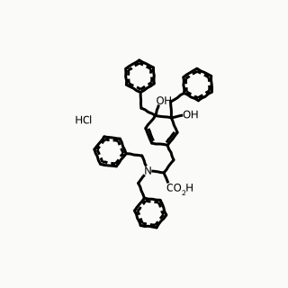 Cl.O=C(O)C(CC1=CC(O)(Cc2ccccc2)C(O)(Cc2ccccc2)C=C1)N(Cc1ccccc1)Cc1ccccc1